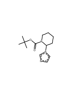 CC(C)(C)OC(=O)N1CCCCC1n1ccnc1